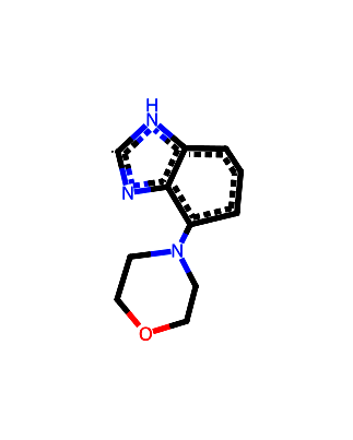 [c]1nc2c(N3CCOCC3)cccc2[nH]1